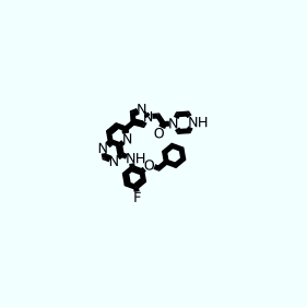 O=C(Cn1cc(-c2ccc3ncnc(Nc4ccc(F)cc4OCC4CCCCC4)c3n2)cn1)N1CCNCC1